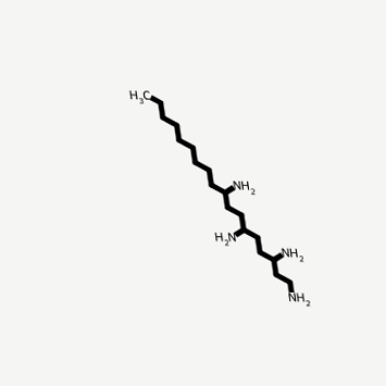 CCCCCCCCCC(N)CCC(N)CCC(N)CCN